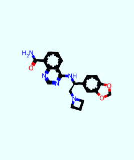 NC(=O)c1cccc2c(N[C@H](CN3CCC3)c3ccc4c(c3)OCO4)ncnc12